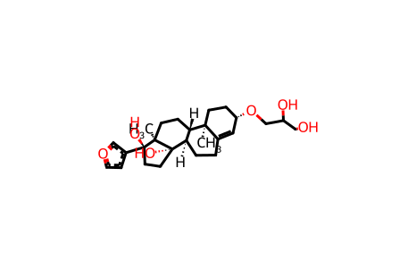 C[C@]12CC[C@H]3[C@@H](CCC4=C[C@@H](OCC(O)CO)CC[C@@]43C)[C@@]1(O)CC[C@]2(O)c1ccoc1